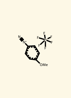 COc1ccc([N+]#N)cc1.F[P-](F)(F)(F)(F)F